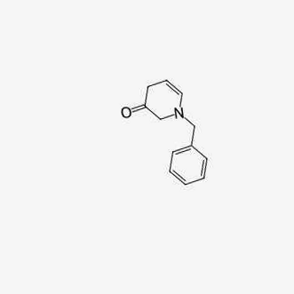 O=C1CC=CN(Cc2ccccc2)C1